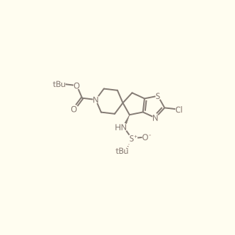 CC(C)(C)OC(=O)N1CCC2(CC1)Cc1sc(Cl)nc1[C@H]2N[S@+]([O-])C(C)(C)C